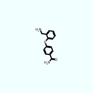 NCc1ccccc1Oc1ccc(C(N)=O)cc1